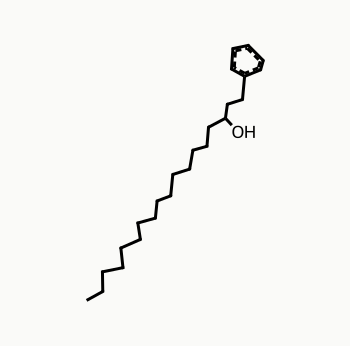 CCCCCCCCCCCCCCCC(O)CCc1ccccc1